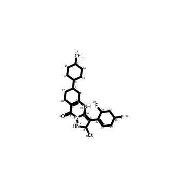 CCC1NN2C(=O)C3=C(CC(C4CCC(C(F)(F)F)CC4)CC3)NC2=C1C1=CCC(F)CC1F